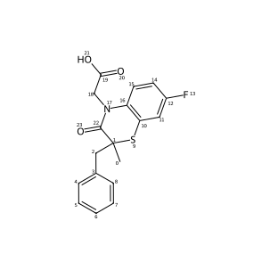 CC1(Cc2ccccc2)Sc2cc(F)ccc2N(CC(=O)O)C1=O